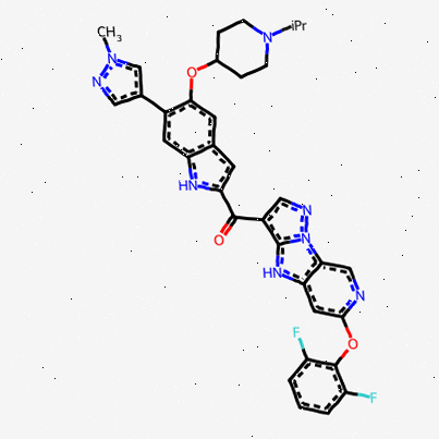 CC(C)N1CCC(Oc2cc3cc(C(=O)c4cnn5c4[nH]c4cc(Oc6c(F)cccc6F)ncc45)[nH]c3cc2-c2cnn(C)c2)CC1